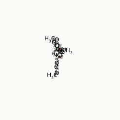 COCCOCOCCC1CC2CN3CCc4c([nH]c5ccc(OC(C)=O)cc45)C(C(=O)OC)(C2)C13